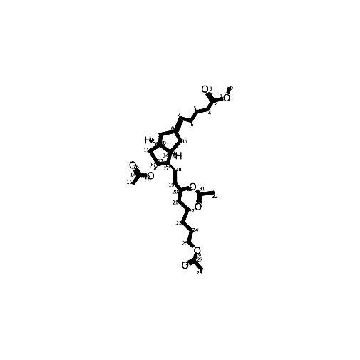 COC(=O)CCCC=C1C[C@@H]2C[C@@H](OC(C)=O)[C@H](CCC(CCCCCOC(C)=O)OC(C)=O)[C@@H]2C1